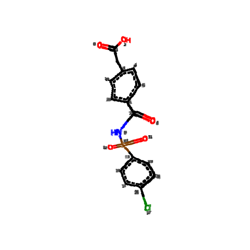 O=C(O)c1ccc(C(=O)NS(=O)(=O)c2ccc(Cl)cc2)cc1